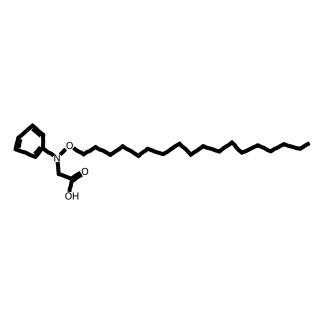 CCCCCCCCCCCCCCCCCCON(CC(=O)O)c1ccccc1